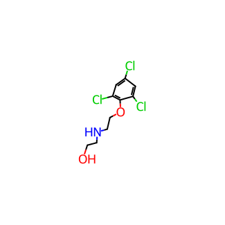 OCCNCCOc1c(Cl)cc(Cl)cc1Cl